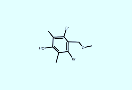 COCc1c(Br)c(C)c(O)c(C)c1Br